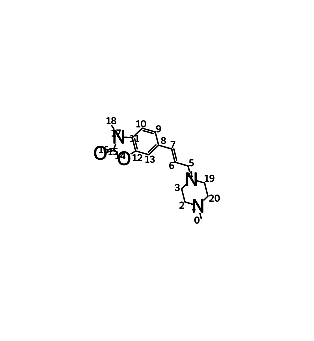 CN1CCN(CC=Cc2ccc3c(c2)oc(=O)n3C)CC1